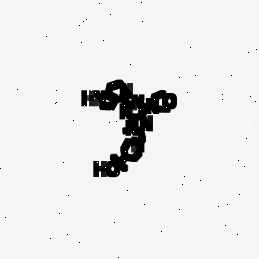 Cn1c(CN2CCC(C(C)(C)O)CC2)nc2c(N3CCOCC3)nc(-c3nccc4[nH]ccc34)nc21